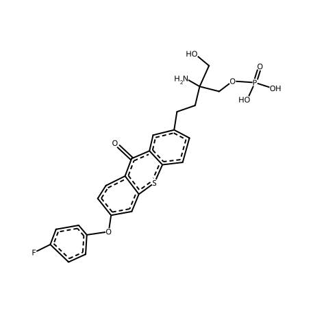 NC(CO)(CCc1ccc2sc3cc(Oc4ccc(F)cc4)ccc3c(=O)c2c1)COP(=O)(O)O